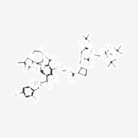 CC1=NO[C@@]2(CC[C@H](C)N3C[C@H]2n2cc(C(=O)NCc4ccc(F)cc4F)c(=O)c(OCOC(=O)[C@@H]4CC[C@@H]4CN(CC(=O)OC(C)(C)C)C(=O)OCOP(=O)(OC(C)(C)C)OC(C)(C)C)c2C3=O)C1